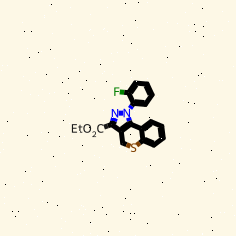 CCOC(=O)c1nn(-c2ccccc2F)c2c1CSc1ccccc1-2